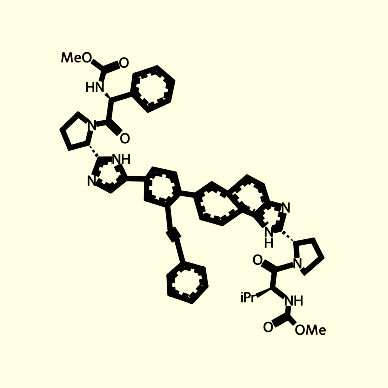 COC(=O)N[C@H](C(=O)N1CCC[C@H]1c1nc2ccc3cc(-c4ccc(-c5cnc([C@@H]6CCCN6C(=O)[C@H](NC(=O)OC)c6ccccc6)[nH]5)cc4C#Cc4ccccc4)ccc3c2[nH]1)C(C)C